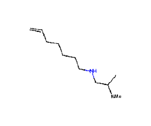 C=CCCCCCNCC(C)NC